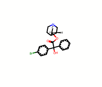 O=C(O[C@H]1CN2CCC1CC2)C(O)(c1ccccc1)c1ccc(Br)cc1